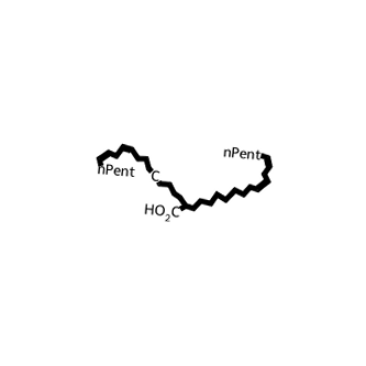 CCCCC/C=C\C/C=C\CCCCCCCCC(CCCCCCCC/C=C\C/C=C\CCCCC)C(=O)O